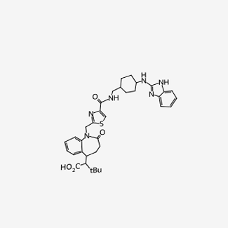 CC(C)(C)C(C(=O)O)C1CCC(=O)N(Cc2nc(C(=O)NCC3CCC(Nc4nc5ccccc5[nH]4)CC3)cs2)c2ccccc21